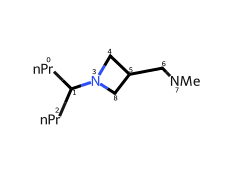 CCCC(CCC)N1CC(CNC)C1